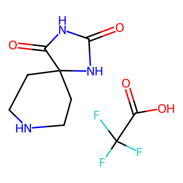 O=C(O)C(F)(F)F.O=C1NC(=O)C2(CCNCC2)N1